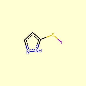 ISc1ccn[nH]1